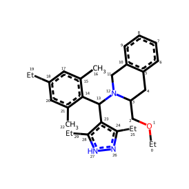 CCOCC1Cc2ccccc2CN1C(c1c(C)cc(CC)cc1C)c1c(CC)n[nH]c1CC